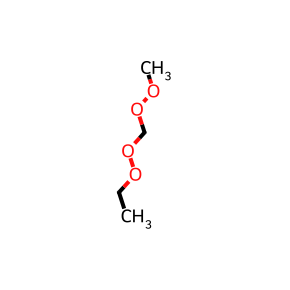 CCOOCOOC